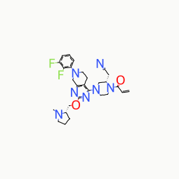 C=CC(=O)N1CCN(c2nc(OC[C@@H]3CCCN3C)nc3c2CCN(c2cccc(F)c2F)C3)C[C@@H]1CC#N